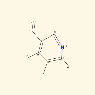 C=Cc1cnc(C)c(C)c1C